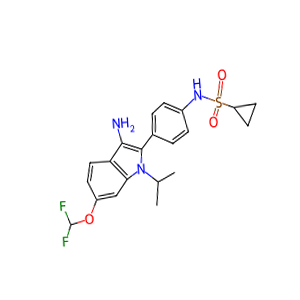 CC(C)n1c(-c2ccc(NS(=O)(=O)C3CC3)cc2)c(N)c2ccc(OC(F)F)cc21